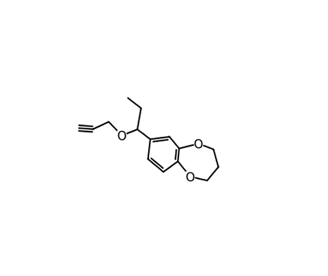 C#CCOC(CC)c1ccc2c(c1)OCCCO2